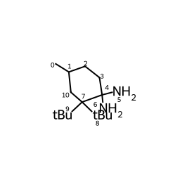 CC1CCC(N)(N)C(C(C)(C)C)(C(C)(C)C)C1